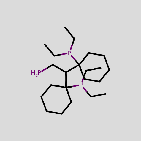 CCP(CC)C1(C(CP)C2(P(CC)CC)CCCCC2)CCCCC1